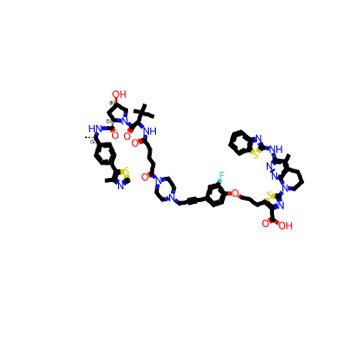 Cc1ncsc1-c1ccc([C@H](C)NC(=O)[C@@H]2C[C@@H](O)CN2C(=O)C(NC(=O)CCCC(=O)N2CCN(CC#Cc3ccc(OCCCc4sc(N5CCCc6c5nnc(Nc5nc7ccccc7s5)c6C)nc4C(=O)O)c(F)c3)CC2)C(C)(C)C)cc1